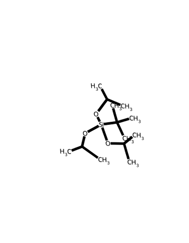 CC(C)O[Si](OC(C)C)(OC(C)C)C(C)(C)C